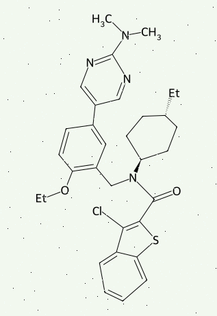 CCOc1ccc(-c2cnc(N(C)C)nc2)cc1CN(C(=O)c1sc2ccccc2c1Cl)[C@H]1CC[C@H](CC)CC1